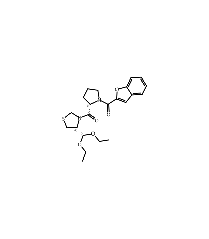 CCOC(OCC)[C@@H]1CSCN1C(=O)[C@@H]1CCCN1C(=O)c1cc2ccccc2o1